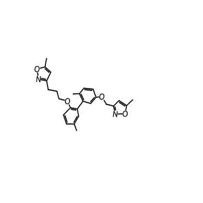 Cc1ccc(OCCCc2cc(C)on2)c(-c2cc(OCc3cc(C)on3)ccc2C)c1